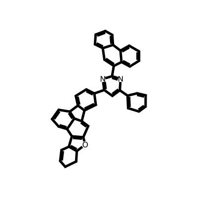 C1=Cc2c(oc3cc4c5c(cccc5c23)-c2ccc(-c3cc(-c5ccccc5)nc(-c5cc6ccccc6c6ccccc56)n3)cc2-4)CC1